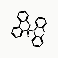 S=P1(N2c3ccccc3Sc3ccccc32)Oc2ccccc2-c2ccccc21